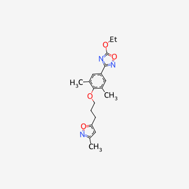 CCOc1nc(-c2cc(C)c(OCCCc3cc(C)no3)c(C)c2)no1